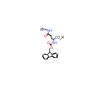 CC(C)(C)NC(=O)CCC(NC(=O)OCC1c2ccccc2-c2ccccc21)C(=O)O